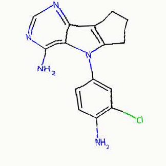 Nc1ccc(-n2c3c(c4ncnc(N)c42)CCC3)cc1Cl